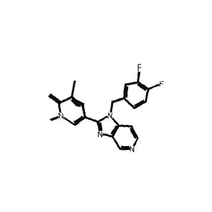 C=C1C(C)=CC(c2nc3cnccc3n2Cc2ccc(F)c(F)c2)=CN1C